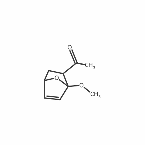 COC12C=CC(CC1C(C)=O)O2